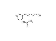 CC(=O)O.OCCCCCC1CCCNC1